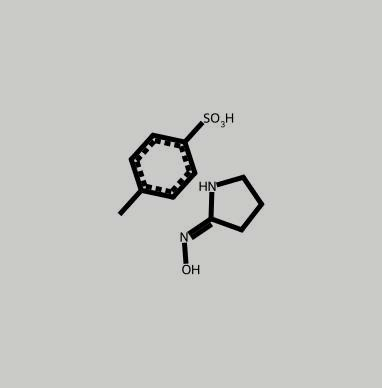 Cc1ccc(S(=O)(=O)O)cc1.O/N=C1\CCCN1